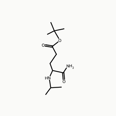 CC(C)NC(CCC(=O)OC(C)(C)C)C(N)=O